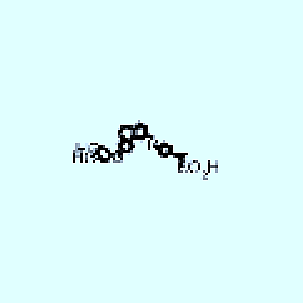 O=C(O)C1CC1c1ccc(OCc2ccc3c(c2)-c2ccc(OC4CCS(O)(O)CC4)cc2CCC3)cc1